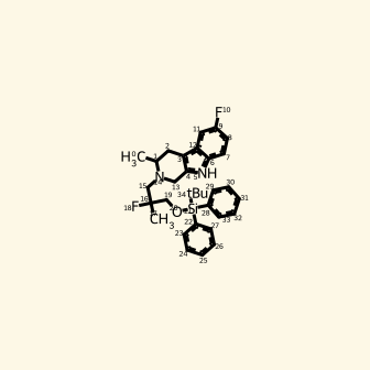 CC1Cc2c([nH]c3ccc(F)cc23)CN1CC(C)(F)CO[Si](c1ccccc1)(c1ccccc1)C(C)(C)C